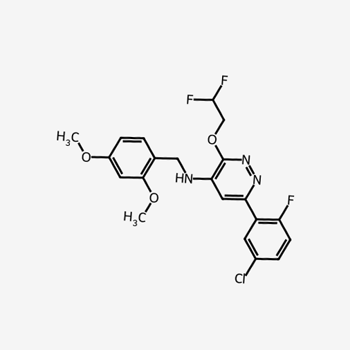 COc1ccc(CNc2cc(-c3cc(Cl)ccc3F)nnc2OCC(F)F)c(OC)c1